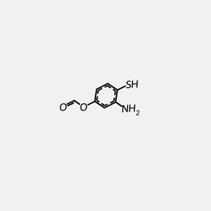 Nc1cc(OC=O)ccc1S